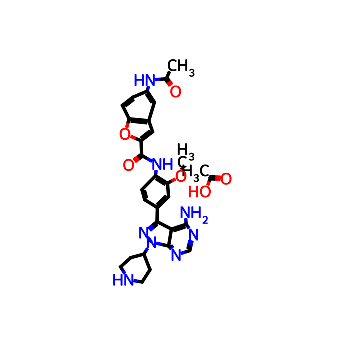 CC(=O)O.COc1cc(-c2nn(C3CCNCC3)c3ncnc(N)c23)ccc1NC(=O)c1cc2cc(NC(C)=O)ccc2o1